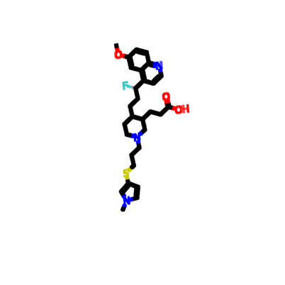 COc1ccc2nccc([C@@H](F)CCC3CCN(CCCSc4ccn(C)c4)CC3CCC(=O)O)c2c1